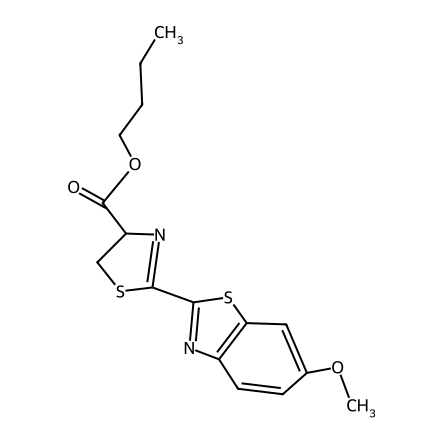 CCCCOC(=O)C1CSC(c2nc3ccc(OC)cc3s2)=N1